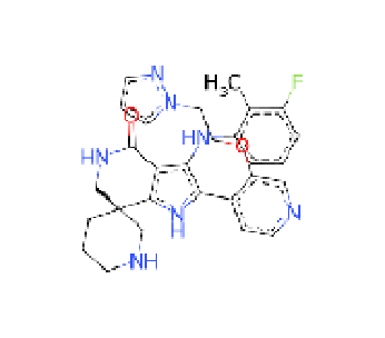 Cc1c(F)cccc1Nc1c(-c2ccncc2OCCn2cccn2)[nH]c2c1C(=O)NC[C@@]21CCCNC1